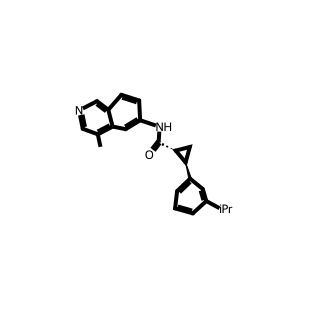 Cc1cncc2ccc(NC(=O)[C@@H]3C[C@H]3c3cccc(C(C)C)c3)cc12